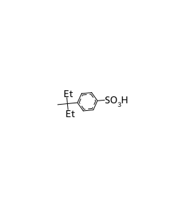 CCC(C)(CC)c1ccc(S(=O)(=O)O)cc1